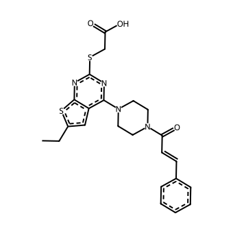 CCc1cc2c(N3CCN(C(=O)C=Cc4ccccc4)CC3)nc(SCC(=O)O)nc2s1